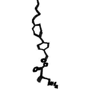 C=C(CN)C(=O)OOCC1CCC(C2CCC(CCCCC)CC2)CC1